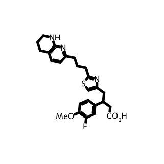 COc1ccc(C(CC(=O)O)Cc2csc(CCCc3ccc4c(n3)NCCC4)n2)cc1F